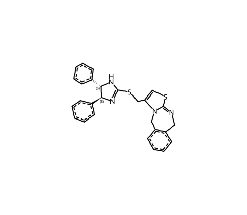 C1=C(CSC2=N[C@@H](c3ccccc3)[C@H](c3ccccc3)N2)N2Cc3ccccc3CN=C2S1